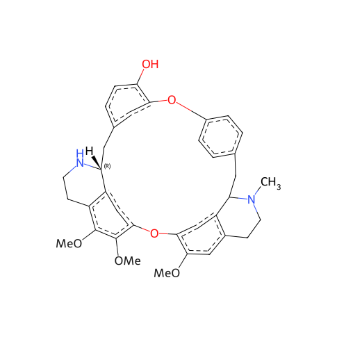 COc1cc2c3cc1Oc1cc4c(c(OC)c1OC)CCN[C@@H]4Cc1ccc(O)c(c1)Oc1ccc(cc1)CC3N(C)CC2